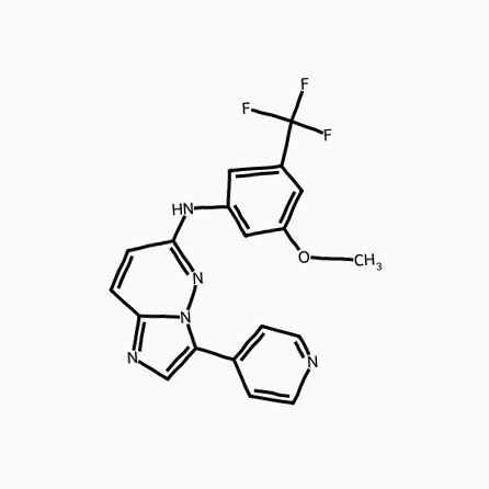 COc1cc(Nc2ccc3ncc(-c4ccncc4)n3n2)cc(C(F)(F)F)c1